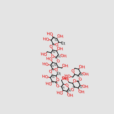 CCC1O[C@@H](O[C@@H]2C(CO)O[C@H](O[C@@H]3C(CO)O[C@H](O[C@@H]4C(CO)OCC(O)[C@H]4O)[C@@H](O)C3O)[C@@H](O)C2O)[C@@H](O)C(O)[C@@H]1O[C@@H]1OC(CO)[C@@H](O[C@@H]2OC(CO)[C@@H](O[C@H]3OC(CC)[C@@H](O)[C@H](O)C3O)C(O)[C@@H]2O)C(O)[C@@H]1O